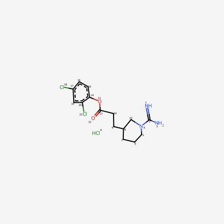 Cl.N=C(N)N1CCCC(CCC(=O)Oc2ccc(Cl)cc2Cl)C1